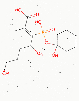 CC(C(=O)O)=C(C(O)CCCO)P(=O)(O)OC1(O)CCCCC1